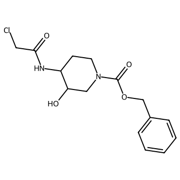 O=C(CCl)NC1CCN(C(=O)OCc2ccccc2)CC1O